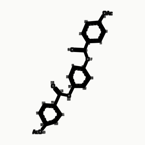 CC(=O)Oc1ccc(C(=O)Oc2ccc(OC(=O)c3ccc(OC(C)=O)cc3)cc2)cc1